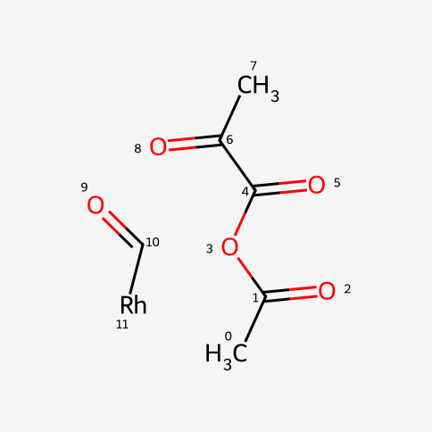 CC(=O)OC(=O)C(C)=O.O=[CH][Rh]